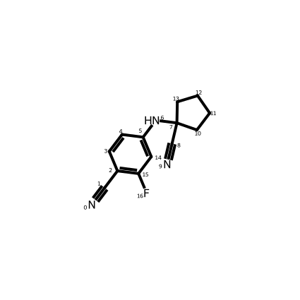 N#Cc1ccc(NC2(C#N)CCCC2)cc1F